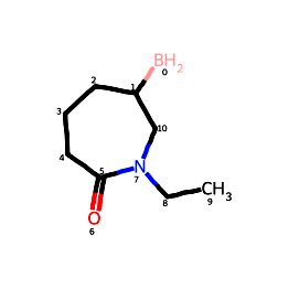 BC1CCCC(=O)N(CC)C1